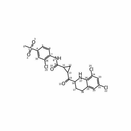 CS(=O)(=O)c1ccc(NC(=O)C2CC2C(=O)C2CCc3cc(Cl)cc(Cl)c3N2)c(Cl)c1